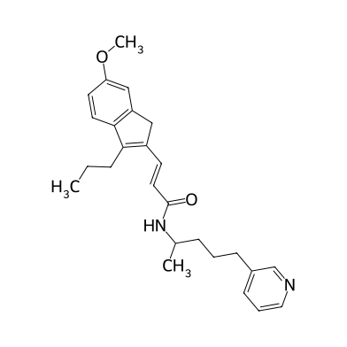 CCCC1=C(/C=C/C(=O)NC(C)CCCc2cccnc2)Cc2cc(OC)ccc21